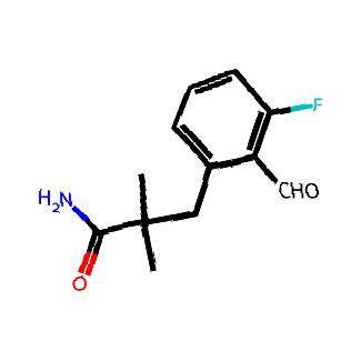 CC(C)(Cc1cccc(F)c1C=O)C(N)=O